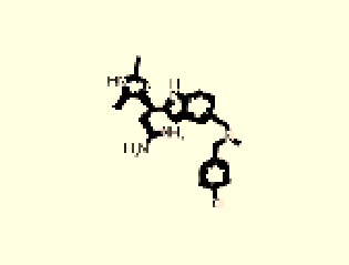 C=c1[nH]c(C)n/c1=C(/C=C(N)N)c1cc2cc(CN(C)Cc3ccc(Cl)cc3)ccc2[nH]1